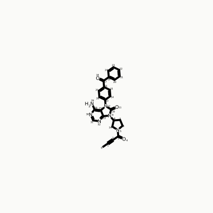 CC#CC(=O)N1CCC(n2c(=O)n(-c3ccc(C(=O)c4ccccc4)cc3)c3c(N)ncnc32)C1